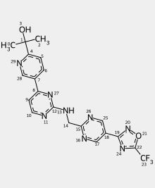 CC(C)(O)c1ccc(-c2ccnc(NCc3ncc(-c4noc(C(F)(F)F)n4)cn3)n2)cn1